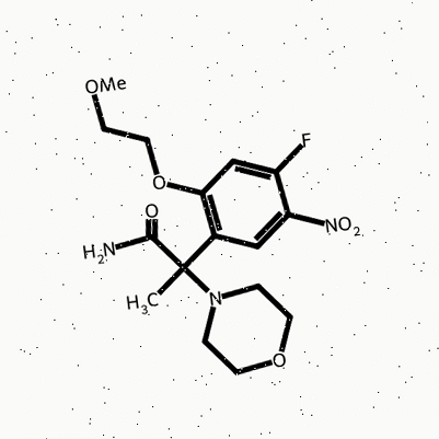 COCCOc1cc(F)c([N+](=O)[O-])cc1C(C)(C(N)=O)N1CCOCC1